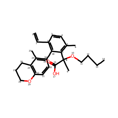 C=Cc1ccc(C)c(C(C)(OCCCC)C(=O)O)c1-c1ccc2c(c1C)CCCO2